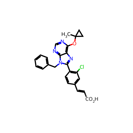 CC1(Oc2ncnc3c2nc(-c2ccc(/C=C/C(=O)O)cc2Cl)n3Cc2ccccc2)CC1